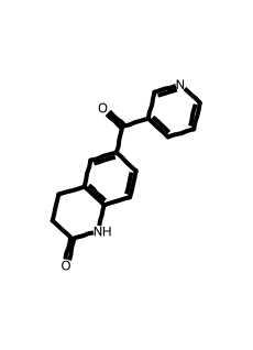 O=C1CCc2cc(C(=O)c3cccnc3)ccc2N1